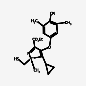 CCOC(=O)C1=N[N+](C)(CS)C(C2CC2)=C1Oc1cc(C)c(C#N)c(C)c1